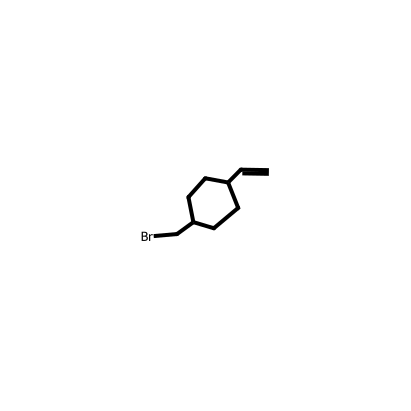 C=CC1CCC(CBr)CC1